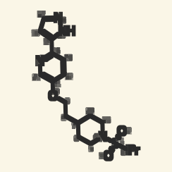 CC(C)S(=O)(=O)N1CCC(CCOc2ccc(-c3ccn[nH]3)nc2)CC1